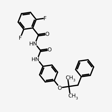 CC(C)(Cc1ccccc1)Oc1ccc(NC(=O)NC(=O)c2c(F)cccc2F)cc1